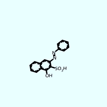 O=S(=O)(O)c1c(N=Nc2ccccc2)cc2ccccc2c1O